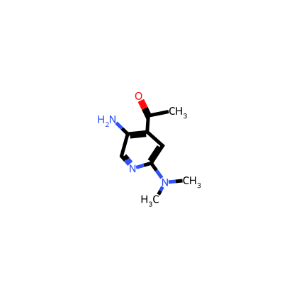 CC(=O)c1cc(N(C)C)ncc1N